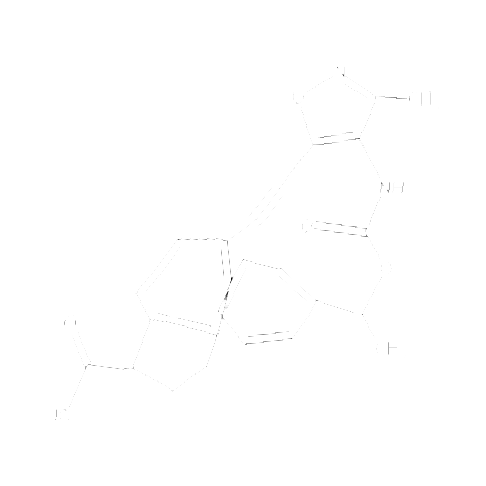 Cc1noc(C#Cc2ccc3c(c2)CCC3C(=O)O)c1NC(=O)OC(C)c1ccccc1